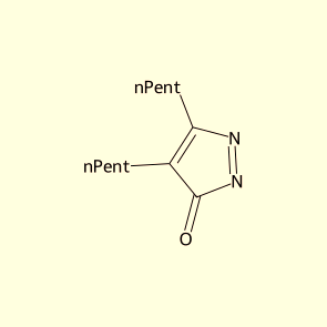 CCCCCC1=C(CCCCC)C(=O)N=N1